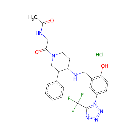 CC(=O)NCC(=O)N1CCC(NCc2cc(-n3nnnc3C(F)(F)F)ccc2O)C(c2ccccc2)C1.Cl